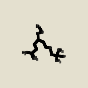 C=C(C)CCC(CCOOC(C)(C)Br)OOCC